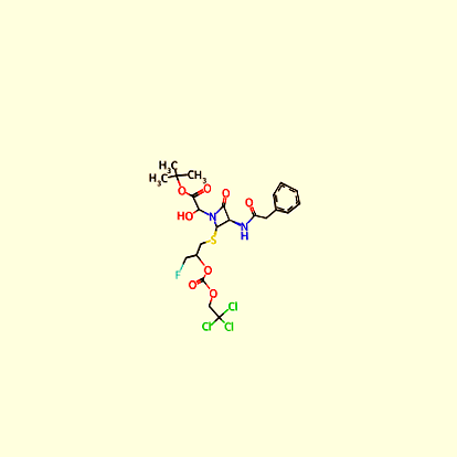 CC(C)(C)OC(=O)C(O)N1C(=O)[C@@H](NC(=O)Cc2ccccc2)[C@H]1SCC(CF)OC(=O)OCC(Cl)(Cl)Cl